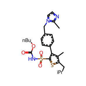 CCCCOC(=O)NS(=O)(=O)c1sc(CC(C)C)c(C)c1-c1ccc(Cn2ccnc2C)cc1